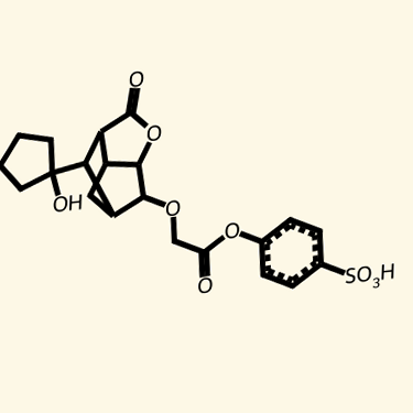 O=C(COC1C2CC3C1OC(=O)C3C2C1(O)CCCC1)Oc1ccc(S(=O)(=O)O)cc1